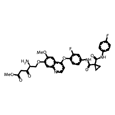 COC(=O)CC(=O)[C@@H](N)COc1cc2nccc(Oc3ccc(NC(=O)C4(C(=O)Nc5ccc(F)cc5)CC4)cc3F)c2cc1OC